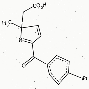 CC(C)c1ccc(C(=O)C2=NC(C)(CC(=O)O)C=C2)cc1